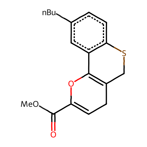 CCCCc1ccc2c(c1)C1=C(CC=C(C(=O)OC)O1)CS2